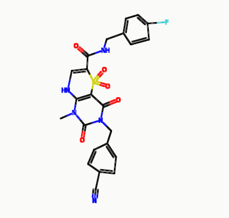 Cn1c2c(c(=O)n(Cc3ccc(C#N)cc3)c1=O)S(=O)(=O)C(C(=O)NCc1ccc(F)cc1)=CN2